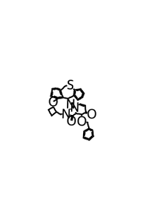 O=C1C=CN2C(C(=O)N3CC4CCC4Oc4cccc5c4C(c4ccccc4SC5)N2C3)C1OCc1ccccc1